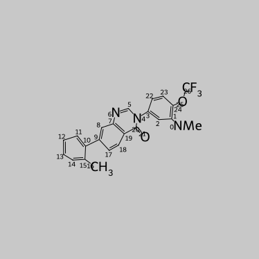 CNc1cc(-n2cnc3cc(-c4ccccc4C)ccc3c2=O)ccc1OC(F)(F)F